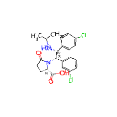 CC(C)N[C@H](c1ccc(Cl)cc1)[C@H](c1cccc(Cl)c1)N1C(=O)CC[C@H]1C(=O)O